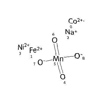 [Co+2].[Fe+2].[Na+].[Ni+2].[O]=[Mn](=[O])([O-])[O-]